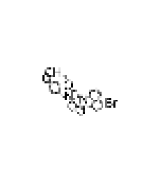 COc1ccc(CN2C(=O)CC(N3C(=O)c4ccc(Br)c5cccc3c45)C2=O)cc1